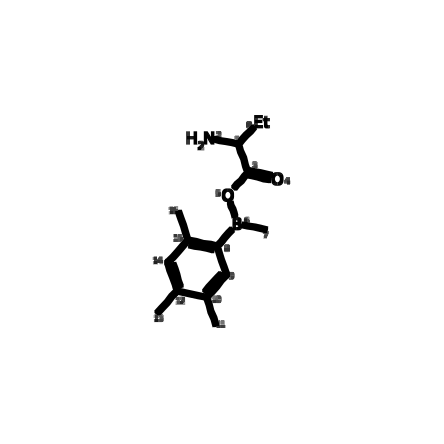 CCC(N)C(=O)OB(C)c1cc(C)c(C)cc1C